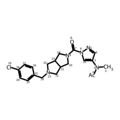 CC(=O)N(C)c1cnn(C(=O)N2CC3CN(Cc4ccc(Cl)cc4)CC3C2)c1